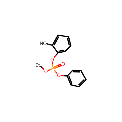 CCOP(=O)(Oc1ccccc1)Oc1ccccc1C#N